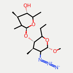 CCC1O[C@H](OC)C(N=[N+]=[N-])[C@@H](C)[C@@H]1O[C@@H]1OC(C)[C@@H](O)[C@H](C)C1C